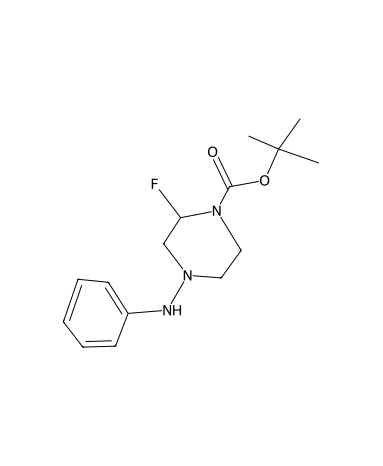 CC(C)(C)OC(=O)N1CCN(Nc2ccccc2)CC1F